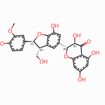 COc1cc([C@H]2Oc3c(O)cc([C@H]4Oc5cc(O)cc(O)c5C(=O)[C@@H]4O)cc3[C@@H]2CO)ccc1O